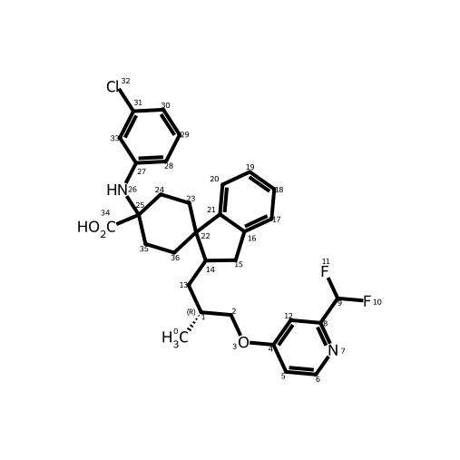 C[C@@H](COc1ccnc(C(F)F)c1)CC1Cc2ccccc2C12CCC(Nc1cccc(Cl)c1)(C(=O)O)CC2